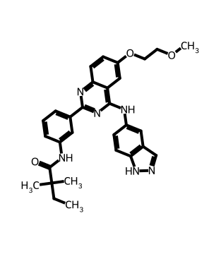 CCC(C)(C)C(=O)Nc1cccc(-c2nc(Nc3ccc4[nH]ncc4c3)c3cc(OCCOC)ccc3n2)c1